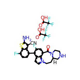 N#Cc1c(N)sc2c(F)ccc(-c3c(F)cc4c5c3ccn5CC[C@@H]3CNCCN3C4=O)c12.O=C(O)C(F)(F)F.O=C(O)C(F)(F)F